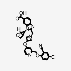 N#Cc1cc(Cl)ccc1OCc1cc(OC2CN(Cc3nc4ccc(C(=O)O)cc4n3C3C4CO[C@@H]43)C2)ccn1